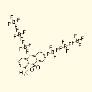 Cc1cccc2c1S(=O)(=O)C1=CC=CCC1=C2.F[B-](F)(F)F.F[B-](F)(F)F.F[B-](F)(F)F.F[B-](F)(F)F.F[B-](F)(F)F.F[B-](F)(F)F